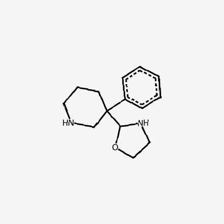 c1ccc(C2(C3NCCO3)CCCNC2)cc1